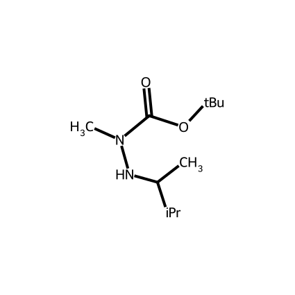 CC(C)C(C)NN(C)C(=O)OC(C)(C)C